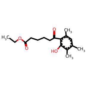 CCOC(=O)CCCCC(=O)c1c(C)cc(C)c(C)c1O